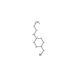 CCCOC1CCC(CBr)CC1